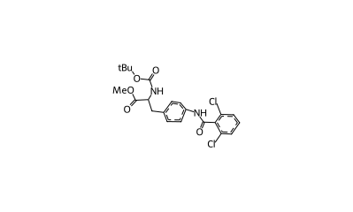 COC(=O)C(Cc1ccc(NC(=O)c2c(Cl)cccc2Cl)cc1)NC(=O)OC(C)(C)C